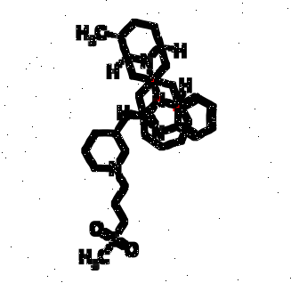 C[C@@H]1CC[C@H]2C[C@@H](n3c(C[C@@H]4CCCN(CCCS(C)(=O)=O)C4)nc4ccccc43)C[C@@H]1N2[C@@H]1C[C@@H]2CCCC[C@@H](C2)C1